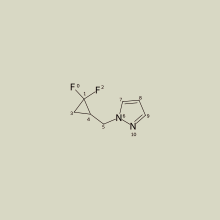 FC1(F)CC1Cn1cccn1